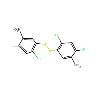 O=[N+]([O-])c1cc(SSc2cc([N+](=O)[O-])c(F)cc2Cl)c(Cl)cc1F